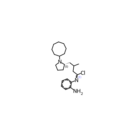 CC(C/C(Cl)=N\c1ccccc1N)C[C@@H]1CCCN1C1CCCCCCC1